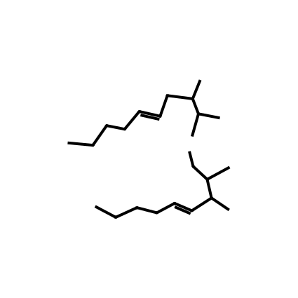 CCCC/C=C/C(C)C(C)CC.CCCC/C=C/CC(C)C(C)C